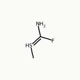 C[SH]=C(N)F